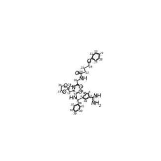 N=C(N)c1csc([C@@H](NC(=O)[C@@H]2CC3(CN2C(=O)CNC(=O)CCCOc2ccccc2)OCCO3)c2ccccc2)c1